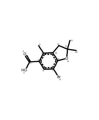 Cc1c(C(=O)O)cc(Br)c2c1CC(C)(C)O2